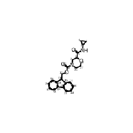 O=C(NC1CC1)C1CN(C(=O)OCC2c3ccccc3-c3ccccc32)CCO1